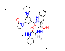 C[C@H](NC[C@@H](O)[C@H](Cc1ccccc1)NC(=O)c1cc(N2CCCCC2)cc(N2CCCC2=O)c1)C(=O)NC1CCCCC1